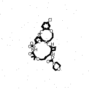 CC1(C)OC/C=C/[C@H](OC(=O)N2CCOCC2)[C@@H]2CC[C@H]2CN2CCCOc3cc(Cl)ccc3COc3ccc(cc32)S(=O)(=O)NC1=O